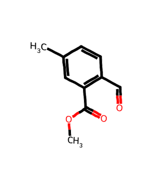 COC(=O)c1cc(C)ccc1C=O